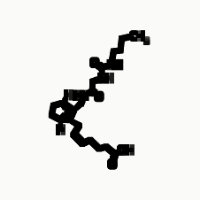 CCCCNC(=O)NCC(=O)NC[C@H]1[C@@H](C/C=C\CCCC(=O)O)[C@H]2CC[C@@H]1S2